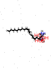 CCCCCCCCCC/C=C\CCCC/C=C\CCC(O)(C[N+](C)(C)C)P(=O)(O)O